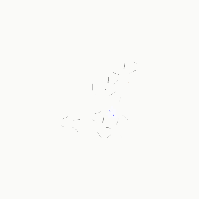 C1=CC(N(c2ccc(C3C=c4ccccc4=CC3)cc2)C2C=CC3=C(C2)[SiH2]c2ccc4c(sc5ccccc54)c23)=C2c3ccccc3SC2C1